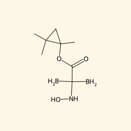 BC(B)(NO)C(=O)OC1(C)CC1(C)C